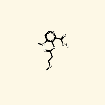 COCCC(=O)Oc1c(OC)ccnc1C(N)=O